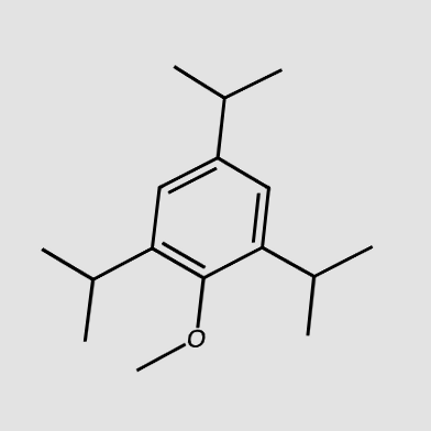 COc1c(C(C)C)cc(C(C)C)cc1C(C)C